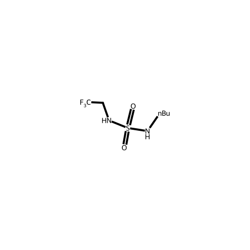 CCCCNS(=O)(=O)NCC(F)(F)F